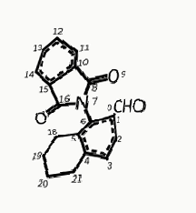 O=Cc1ccc2c(c1N1C(=O)c3ccccc3C1=O)CCCC2